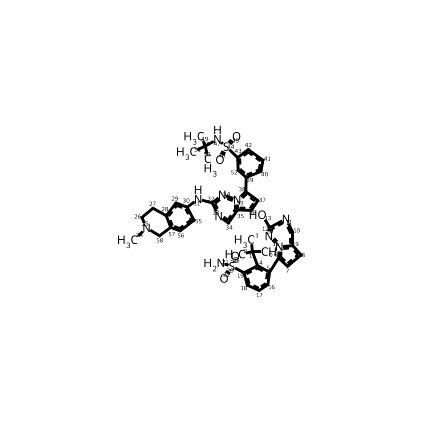 CC(C)(C)c1c(-c2ccc3cnc(O)nn23)cccc1S(N)(=O)=O.CN1CCc2cc(Nc3ncc4ccc(-c5cccc(S(=O)(=O)NC(C)(C)C)c5)n4n3)ccc2C1